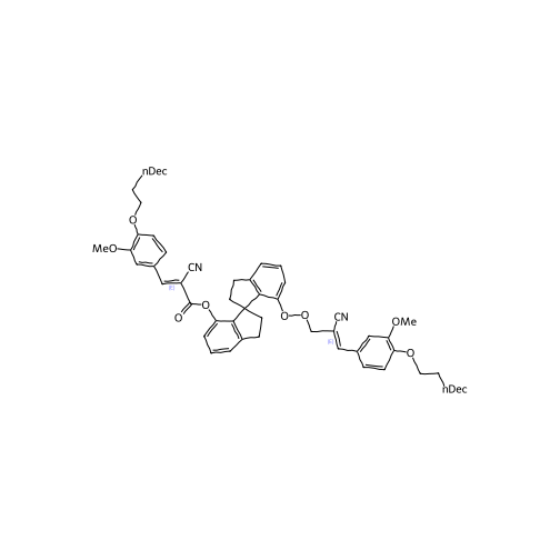 CCCCCCCCCCCCOc1ccc(/C=C(\C#N)COOc2cccc3c2C2(CC3)CCc3cccc(OC(=O)/C(C#N)=C/c4ccc(OCCCCCCCCCCCC)c(OC)c4)c32)cc1OC